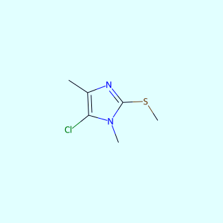 CSc1nc(C)c(Cl)n1C